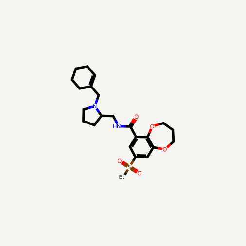 CCS(=O)(=O)c1cc2c(c(C(=O)NCC3CCCN3CC3=CCCCC3)c1)OCCCO2